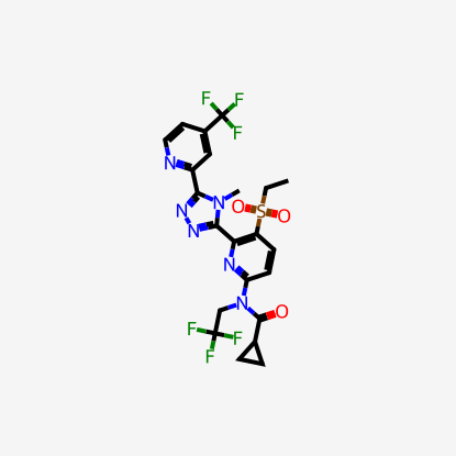 CCS(=O)(=O)c1ccc(N(CC(F)(F)F)C(=O)C2CC2)nc1-c1nnc(-c2cc(C(F)(F)F)ccn2)n1C